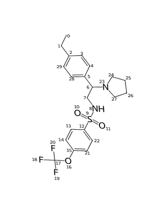 CCc1ccc(C(CNS(=O)(=O)c2ccc(OC(F)(F)F)cc2)N2CCCC2)cc1